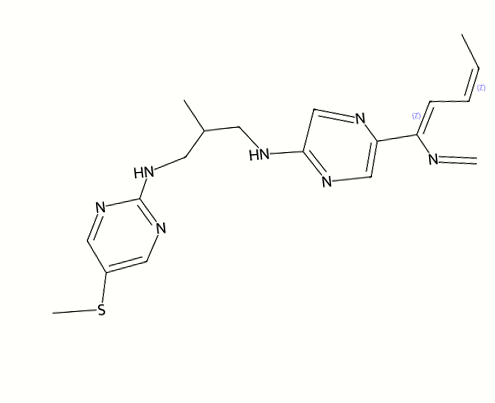 C=N/C(=C\C=C/C)c1cnc(NCC(C)CNc2ncc(SC)cn2)cn1